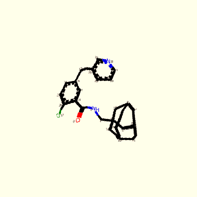 O=C(NCC12CC3CC(CC(C3)C1)C2)c1cc(Cc2cccnc2)ccc1Cl